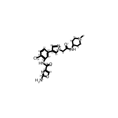 CN1CCC(NC(=O)Cn2cc(-c3ccc(Cl)c(NC(=O)c4coc(N)n4)c3)cn2)CC1